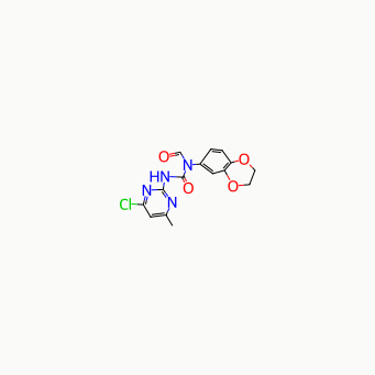 Cc1cc(Cl)nc(NC(=O)N(C=O)c2ccc3c(c2)OCCO3)n1